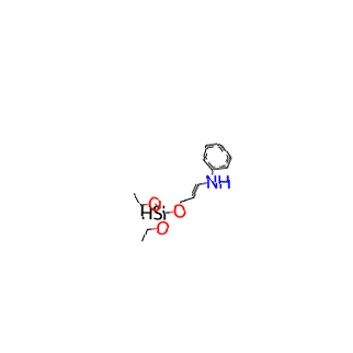 CCO[SiH](OCC)OCC=CNc1ccccc1